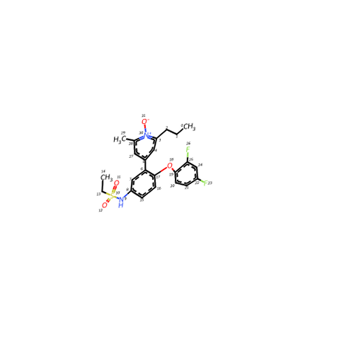 CCCc1cc(-c2cc(NS(=O)(=O)CC)ccc2Oc2ccc(F)cc2F)cc(C)[n+]1[O-]